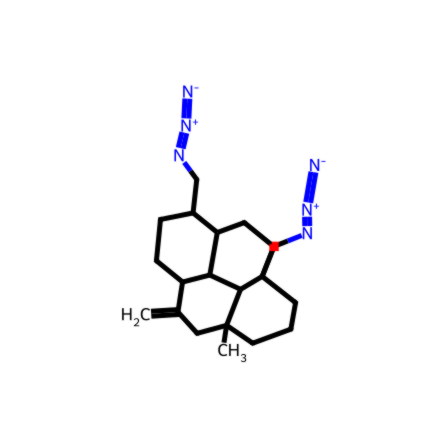 C=C1CC2(C)CCCC3(CN=[N+]=[N-])CCC4C(CN=[N+]=[N-])CCC1C4C23